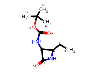 CCC1NC(=O)C1NC(=O)OC(C)(C)C